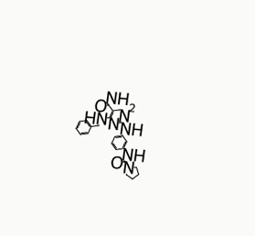 NC(=O)c1cnc(Nc2cccc(NC(=O)N3CCCC3)c2)nc1NCc1ccccc1